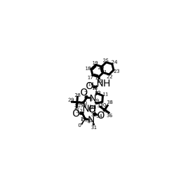 C[C@@H](C(=O)N[C@H](C(=O)N1CCC[C@H]1C(=O)Nc1cccc2c1CCCC2)C(C)(C)C)N(C)C(=O)OC(C)(C)C